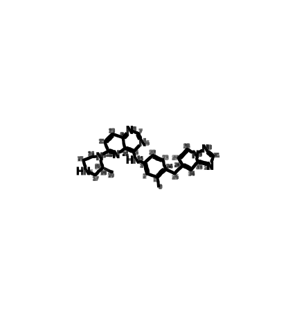 Cc1cc(Nc2ncnc3ccc(N4CCNC[C@@H]4C)nc23)ccc1Cc1ccn2ncnc2c1